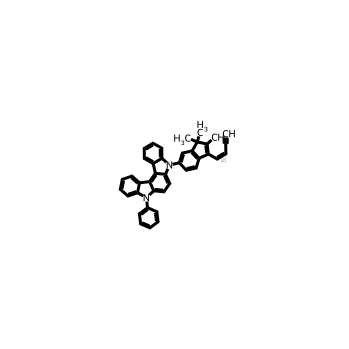 C#C/C=C\C1=C(C)C(C)(C)c2cc(-n3c4ccccc4c4c5c6ccccc6n(-c6ccccc6)c5ccc43)ccc21